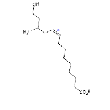 CC(C/C=C\CCCCCCCC(=O)O)CCO